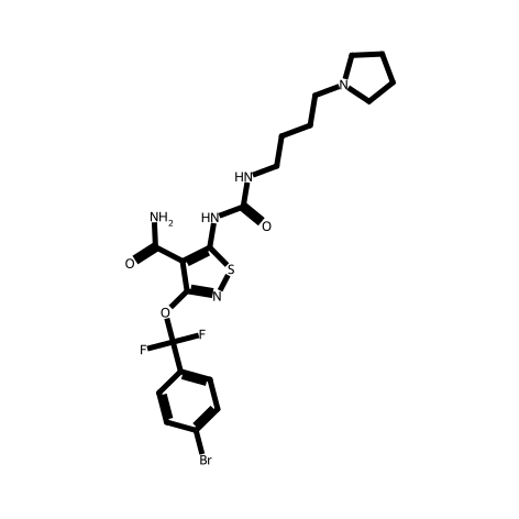 NC(=O)c1c(OC(F)(F)c2ccc(Br)cc2)nsc1NC(=O)NCCCCN1CCCC1